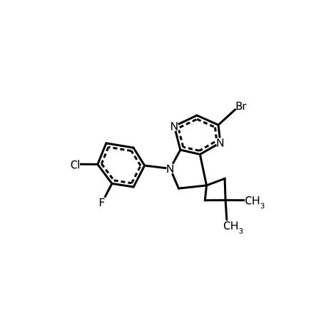 CC1(C)CC2(CN(c3ccc(Cl)c(F)c3)c3ncc(Br)nc32)C1